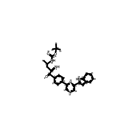 CC(CC(=N)C(=O)c1ccc(-c2cncc(-c3cc4ccccc4[nH]3)n2)cc1)NC(=O)OC(C)(C)C